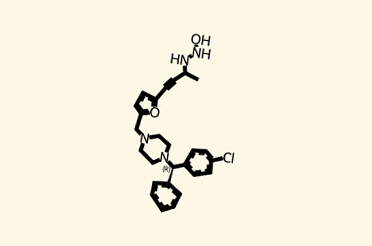 CC(C#Cc1ccc(CN2CCN([C@H](c3ccccc3)c3ccc(Cl)cc3)CC2)o1)NNO